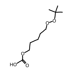 CC(C)(C)OOCCCCCOC(=O)O